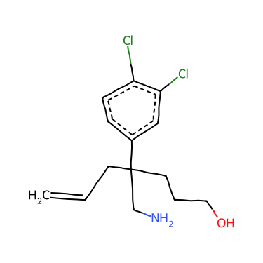 C=CCC(CN)(CCCO)c1ccc(Cl)c(Cl)c1